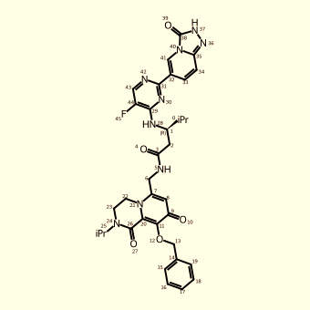 CC(C)[C@@H](CC(=O)NCc1cc(=O)c(OCc2ccccc2)c2n1CCN(C(C)C)C2=O)Nc1nc(-c2ccc3n[nH]c(=O)n3c2)ncc1F